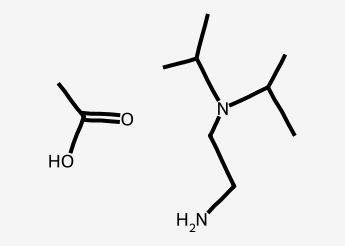 CC(=O)O.CC(C)N(CCN)C(C)C